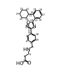 O=C(O)CCNCc1ccc(-c2noc(-c3ccccc3C3CCCCC3)n2)cc1